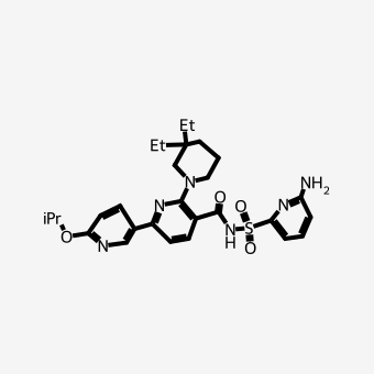 CCC1(CC)CCCN(c2nc(-c3ccc(OC(C)C)nc3)ccc2C(=O)NS(=O)(=O)c2cccc(N)n2)C1